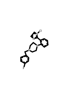 Fc1ccc(CN2CCN(c3ccccc3-c3nccn3Cl)CC2)cc1